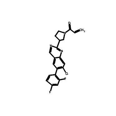 C=CC(=O)N1CCC(c2ncc3cc(-c4ccc(F)cc4F)c(Cl)cc3n2)C1